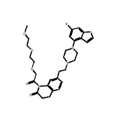 COCCOCCOCC(=O)N1C(=O)CCc2ccc(CCN3CCN(c4cc(F)cc5sccc45)CC3)cc21